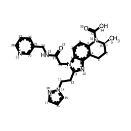 C[C@H]1CCc2c(ccc3c2nc(CCn2cccn2)n3CC(=O)NCc2cccnc2)N1C(=O)O